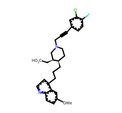 COc1ccc2nccc(CCC[C@@H]3CCN(CC#Cc4ccc(F)c(Cl)c4)C[C@@H]3CC(=O)O)c2c1